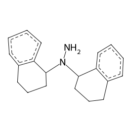 NN(C1CCCc2ccccc21)C1CCCc2ccccc21